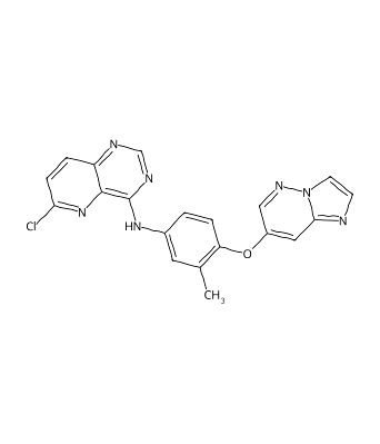 Cc1cc(Nc2ncnc3ccc(Cl)nc23)ccc1Oc1cnn2ccnc2c1